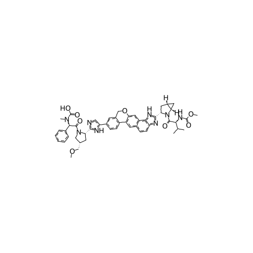 COC[C@H]1C[C@@H](c2ncc(-c3ccc4c(c3)COc3cc5c(ccc6nc([C@@H]7C[C@@H]8C[C@@H]8N7C(=O)[C@@H](NC(=O)OC)C(C)C)[nH]c65)cc3-4)[nH]2)N(C(=O)[C@@H](c2ccccc2)N(C)C(=O)O)C1